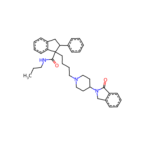 CCCNC(=O)C1(CCCCN2CCC(N3Cc4ccccc4C3=O)CC2)c2ccccc2CC1c1ccccc1